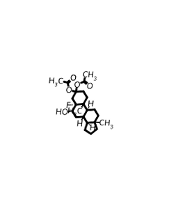 CC(=O)OC1(OC(C)=O)CC[C@]2(C)[C@H]3CC[C@]4(C)CCC[C@H]4[C@@H]3C[C@@H](O)[C@@]2(F)C1